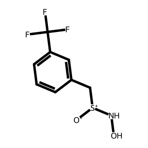 [O-][S+](Cc1cccc(C(F)(F)F)c1)NO